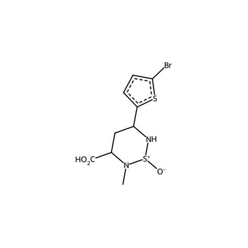 CN1C(C(=O)O)CC(c2ccc(Br)s2)N[S+]1[O-]